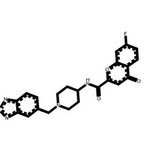 O=C(NC1CCN(Cc2ccc3nsnc3c2)CC1)c1cc(=O)c2ccc(F)cc2o1